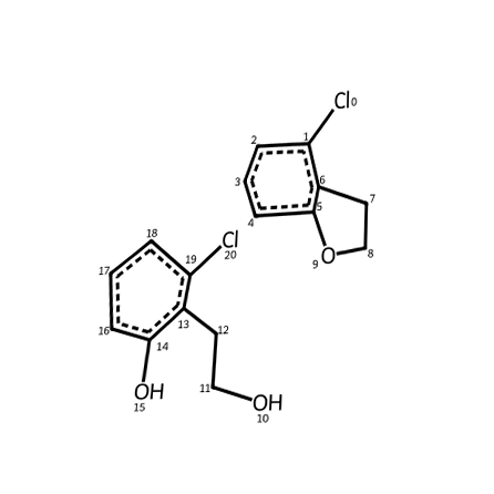 Clc1cccc2c1CCO2.OCCc1c(O)cccc1Cl